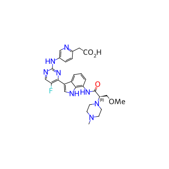 COC[C@H](C(=O)Nc1cccc2c(-c3nc(Nc4ccc(CC(=O)O)nc4)ncc3F)c[nH]c12)N1CCN(C)CC1